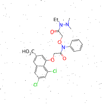 CCN(C(=O)CON(C(=O)COc1cc(C(=O)O)cc2cc(Cl)cc(Cl)c12)c1ccccc1)N(C)C